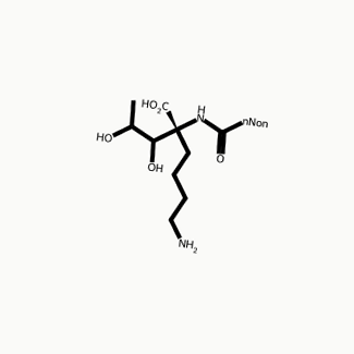 CCCCCCCCCC(=O)N[C@@](CCCCN)(C(=O)O)C(O)C(C)O